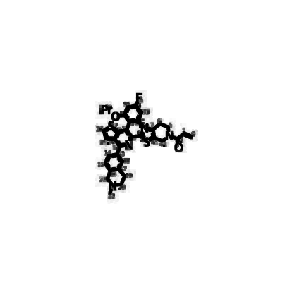 C=CC(=O)N1CCc2nc(-c3nc(-c4ccc5c(c4)CCN(C)C5)c4ccsc4c3-c3c(F)cc(F)cc3OC(C)C)sc2C1